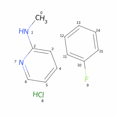 CNc1ccccn1.Cl.Fc1ccccc1